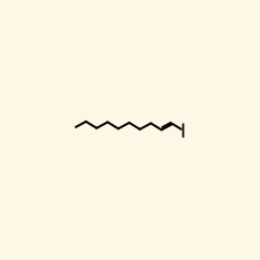 CCCCCCCCC=CI